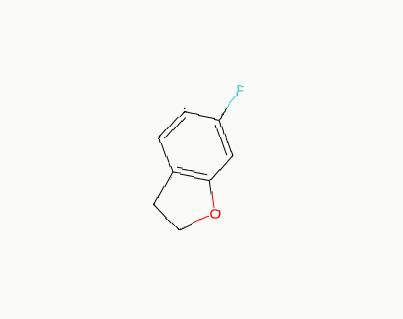 Fc1[c]cc2c(c1)OCC2